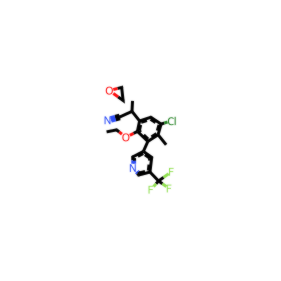 C1CO1.CCOc1c(C(C)C#N)cc(Cl)c(C)c1-c1cncc(C(F)(F)F)c1